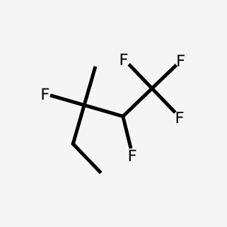 CCC(C)(F)C(F)C(F)(F)F